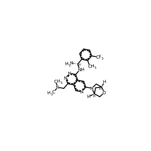 Cc1c([C@@H](N)Nc2nnc(CN(C)C)c3cnc(N4C[C@H]5C[C@@H]4CO5)cc23)cccc1C(F)(F)F